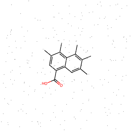 Cc1cc2c(C(=O)O)cc(C)c(C)c2c(C)c1C